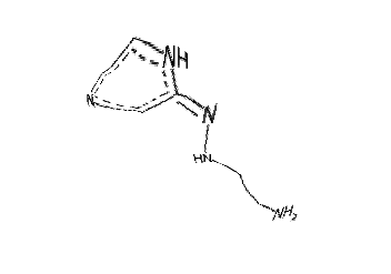 NCCNN=c1cncc[nH]1